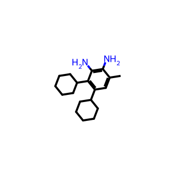 Cc1cc(C2CCCCC2)c(C2CCCCC2)c(N)c1N